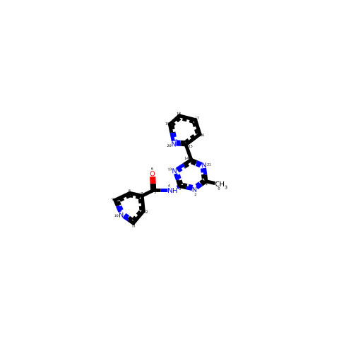 Cc1nc(NC(=O)c2ccncc2)nc(-c2ccccn2)n1